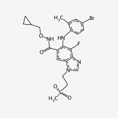 Cc1cc(Br)ccc1Nc1c(C(=O)NOCC2CC2)cc2c(ncn2CCS(C)(=O)=O)c1F